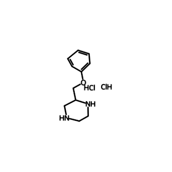 Cl.Cl.c1ccc(OCC2CNCCN2)cc1